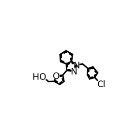 OCc1ccc(-c2nn(Cc3ccc(Cl)cc3)c3ccccc23)o1